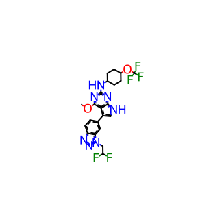 COc1nc(NC2CCC(OC(F)(F)F)CC2)nc2[nH]cc(-c3ccc4nnn(CC(F)F)c4c3)c12